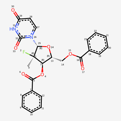 C[C@@]1(F)[C@H](OC(=O)c2ccccc2)[C@@H](COC(=O)c2ccccc2)O[C@H]1n1ccc(=O)[nH]c1=O